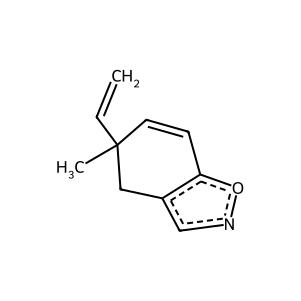 C=CC1(C)C=Cc2oncc2C1